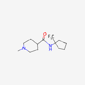 CN1CCC(C(=O)NC2(C(F)(F)F)CCCC2)CC1